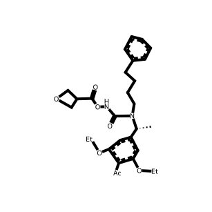 CCOc1cc([C@@H](C)N(CCCCc2ccccc2)C(=O)NOC(=O)C2COC2)cc(OCC)c1C(C)=O